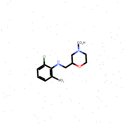 O=C(O)N1CCOC(CNc2c(Cl)cccc2[N+](=O)[O-])C1